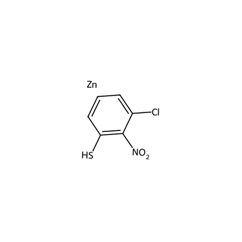 O=[N+]([O-])c1c(S)cccc1Cl.[Zn]